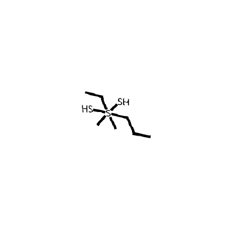 CCCS(C)(C)(S)(S)CC